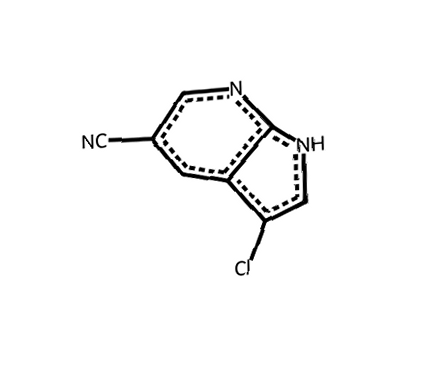 N#Cc1cnc2[nH]cc(Cl)c2c1